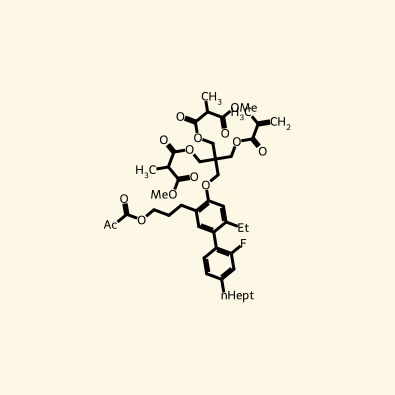 C=C(C)C(=O)OCC(COC(=O)C(C)C(=O)OC)(COC(=O)C(C)C(=O)OC)COc1cc(CC)c(-c2ccc(CCCCCCC)cc2F)cc1CCCOC(=O)C(C)=O